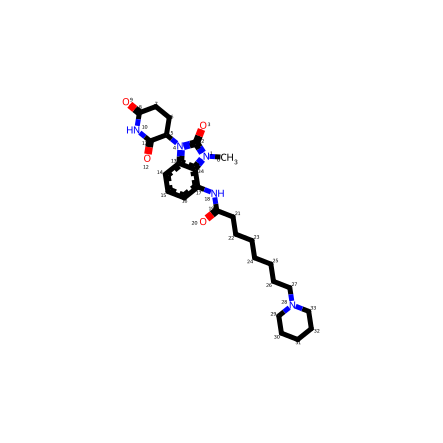 Cn1c(=O)n(C2CCC(=O)NC2=O)c2cccc(NC(=O)CCCCCCCN3CCCCC3)c21